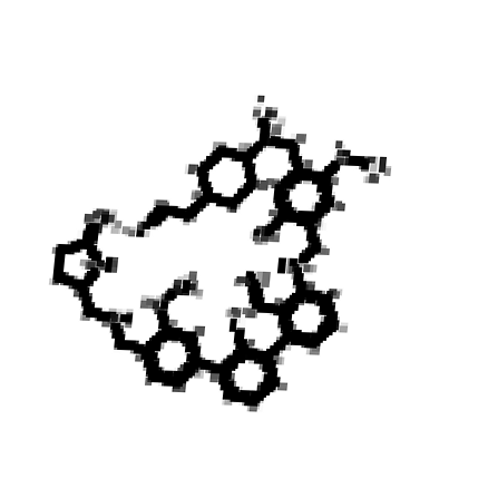 C=C1CCC(CNCc2ccc(-c3cccc(-c4cccc(NCc5cc(OC)c(CN(C)C6CCC(CC=O)CC6)cc5Cl)c4C=N)c3Cl)cc2OC)N1